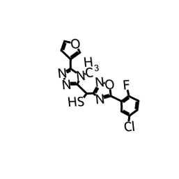 Cn1c(-c2ccoc2)nnc1C(S)c1noc(-c2cc(Cl)ccc2F)n1